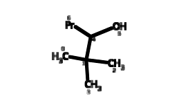 CC(C)(C)[CH](O)[Pr]